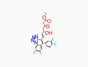 CCOC(=O)CC(=O)CC(O)/C=C/C(=C(c1ccc(F)c(C)c1)c1ccc(F)c(C)c1)c1nnnn1C